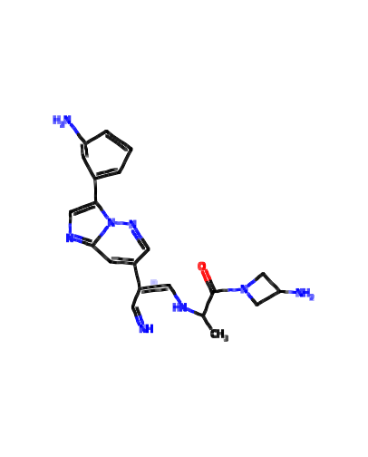 CC(N/C=C(\C=N)c1cnn2c(-c3cccc(N)c3)cnc2c1)C(=O)N1CC(N)C1